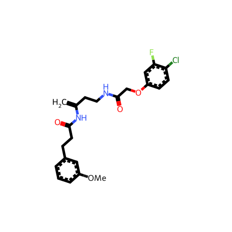 C=C(CCNC(=O)COc1ccc(Cl)c(F)c1)NC(=O)CCc1cccc(OC)c1